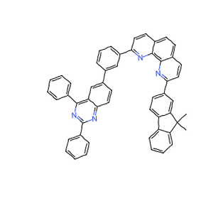 CC1(C)c2ccccc2-c2ccc(-c3ccc4ccc5ccc(-c6cccc(-c7ccc8nc(-c9ccccc9)nc(-c9ccccc9)c8c7)c6)nc5c4n3)cc21